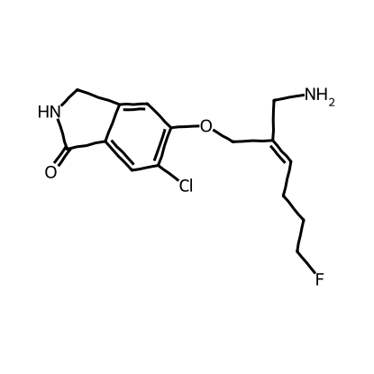 NC/C(=C/CCCF)COc1cc2c(cc1Cl)C(=O)NC2